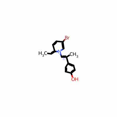 CC=C1C=CC(Br)=CN1/C=C(\C)c1ccc(O)cc1